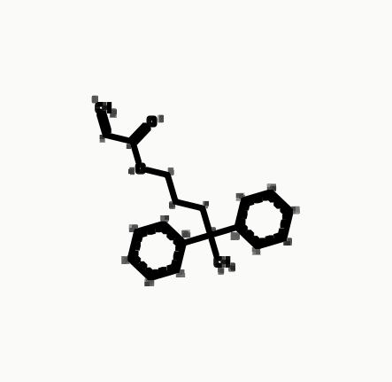 C=CC(=O)OCCCC(C)(c1ccccc1)c1ccccc1